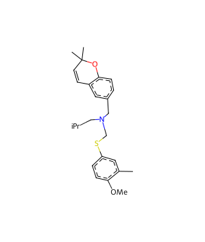 COc1ccc(SCN(Cc2ccc3c(c2)C=CC(C)(C)O3)CC(C)C)cc1C